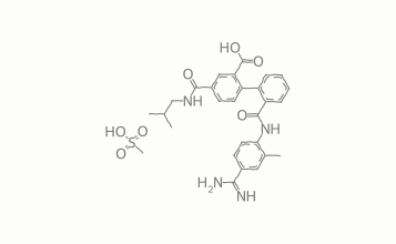 CS(=O)(=O)O.Cc1cc(C(=N)N)ccc1NC(=O)c1ccccc1-c1ccc(C(=O)NCC(C)C)cc1C(=O)O